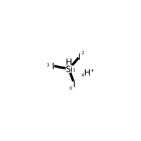 I[SiH](I)I.[H+]